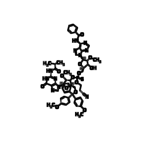 COc1ccc(C(OC[C@H]2O[C@@H](n3cnc4c(=O)[nH]c(NC(=O)C(C)C)nc43)C(OC)C2OP(=S)(OCCC#N)OC[C@H]2O[C@@H](n3cnc4c(NC(=O)c5ccccc5)ncnc43)C(OC)C2O)(c2ccccc2)c2ccc(OC)cc2)cc1